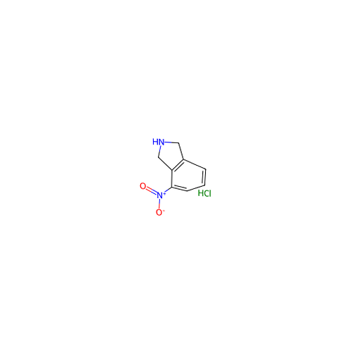 Cl.O=[N+]([O-])c1cccc2c1CNC2